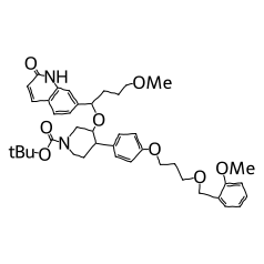 COCCCC(OC1CN(C(=O)OC(C)(C)C)CCC1c1ccc(OCCCOCc2ccccc2OC)cc1)c1ccc2ccc(=O)[nH]c2c1